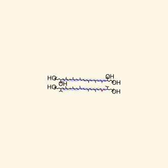 CC(/C=C/C=C(C)/C=C/C=C(C)/C=C/C(CCC(C)(C)O)C(C)(C)O)=C\C=C\C=C(C)\C=C\C=C(C)\C=C\C=C(C)\C=C\C(CCC(C)(C)O)C(C)(C)O.CC(/C=C/C=C(C)/C=C/C=C(C)/C=C/C(CCC(C)(C)O)C(C)C)=C\C=C\C=C(C)\C=C\C=C(C)\C=C\C=C(C)\C=C\C(CCC(C)(C)O)C(C)C